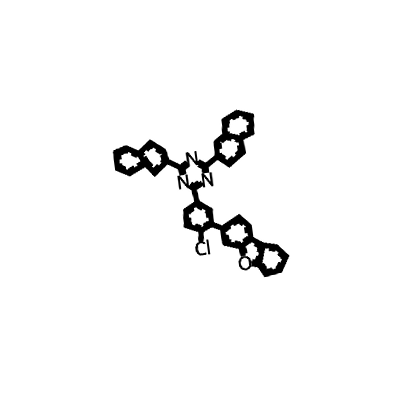 Clc1ccc(-c2nc(-c3ccc4ccccc4c3)nc(-c3ccc4ccccc4c3)n2)cc1-c1ccc2c(c1)oc1ccccc12